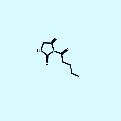 CCCCC(=S)N1C(=O)CNC1=O